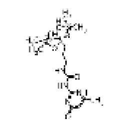 Cc1cc(=O)nc(NC(=O)NCCC[Si](C)(O[Si](C)(C)C)O[Si](C)(C)C)[nH]1